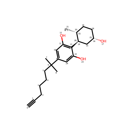 C#CCCCCC(C)(C)c1cc(O)c([C@@H]2C[C@@H](O)CC[C@H]2C(C)C)c(O)c1